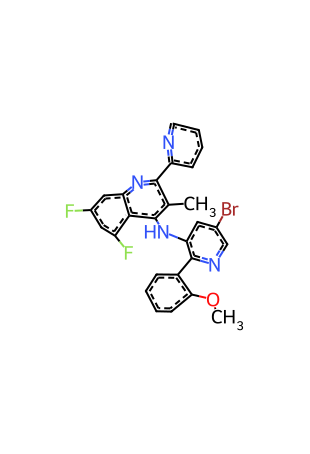 COc1ccccc1-c1ncc(Br)cc1Nc1c(C)c(-c2ccccn2)nc2cc(F)cc(F)c12